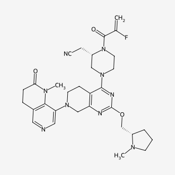 C=C(F)C(=O)N1CCN(c2nc(OC[C@@H]3CCCN3C)nc3c2CCN(c2cncc4c2N(C)C(=O)CC4)C3)C[C@@H]1CC#N